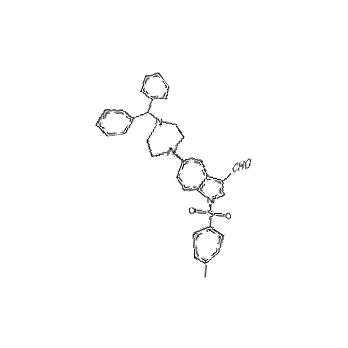 Cc1ccc(S(=O)(=O)n2cc(C=O)c3cc(N4CCN(C(c5ccccc5)c5ccccc5)CC4)ccc32)cc1